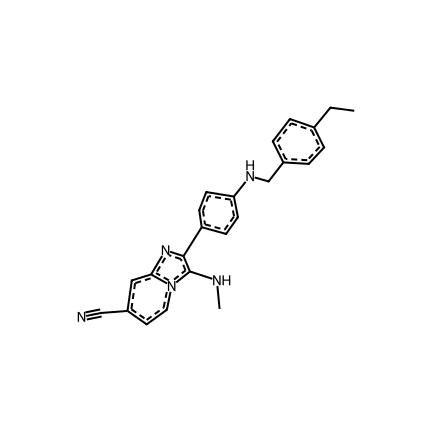 CCc1ccc(CNc2ccc(-c3nc4cc(C#N)ccn4c3NC)cc2)cc1